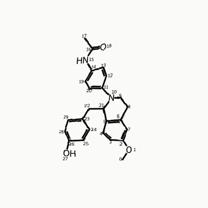 COc1ccc2c(c1)CCN(c1ccc(NC(C)=O)cc1)C2Cc1ccc(O)cc1